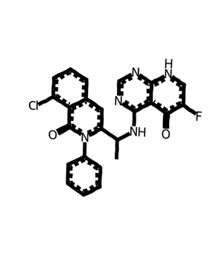 CC(Nc1ncnc2[nH]cc(F)c(=O)c12)c1cc2cccc(Cl)c2c(=O)n1-c1ccccc1